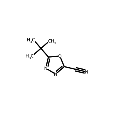 CC(C)(C)c1nnc(C#N)o1